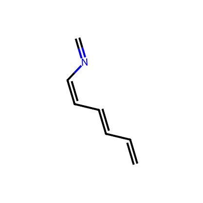 C=C/C=C/C=C\N=C